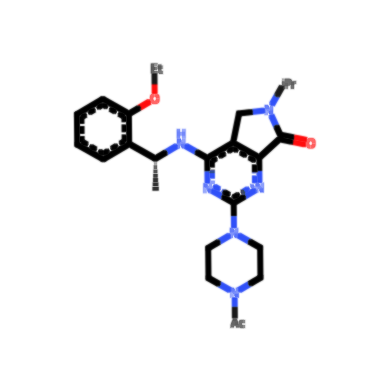 CCOc1ccccc1[C@@H](C)Nc1nc(N2CCN(C(C)=O)CC2)nc2c1CN(C(C)C)C2=O